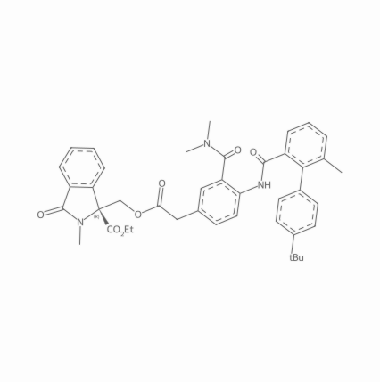 CCOC(=O)[C@]1(COC(=O)Cc2ccc(NC(=O)c3cccc(C)c3-c3ccc(C(C)(C)C)cc3)c(C(=O)N(C)C)c2)c2ccccc2C(=O)N1C